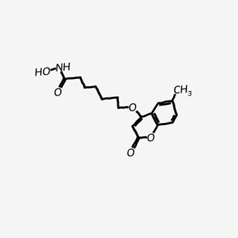 Cc1ccc2oc(=O)cc(OCCCCCCC(=O)NO)c2c1